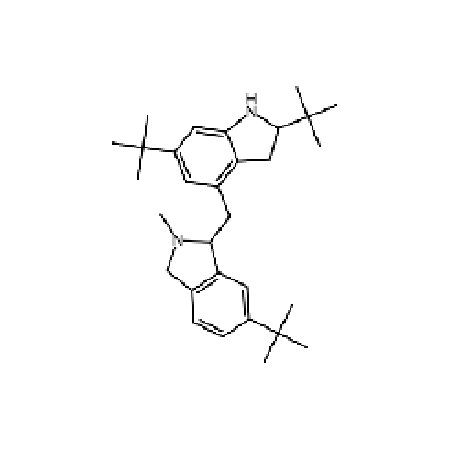 CN1Cc2ccc(C(C)(C)C)cc2C1Cc1cc(C(C)(C)C)cc2c1CC(C(C)(C)C)N2